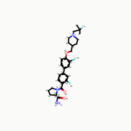 CC(C)(F)CN1CCC(COc2ccc(-c3ccc(C(=O)N4CCC[C@H]4C(N)=O)c(F)c3)cc2F)CC1